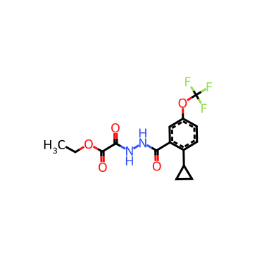 CCOC(=O)C(=O)NNC(=O)c1cc(OC(F)(F)F)ccc1C1CC1